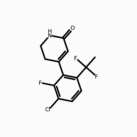 CC(F)(F)c1ccc(Cl)c(F)c1C1=CC(=O)NCC1